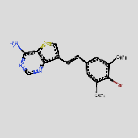 COc1cc(/C=C/c2csc3c(N)ncnc23)cc(OC)c1Br